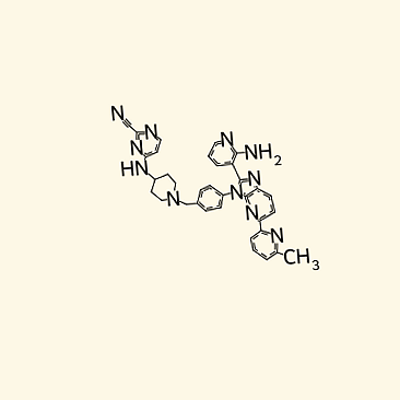 Cc1cccc(-c2ccc3nc(-c4cccnc4N)n(-c4ccc(CN5CCC(Nc6ccnc(C#N)n6)CC5)cc4)c3n2)n1